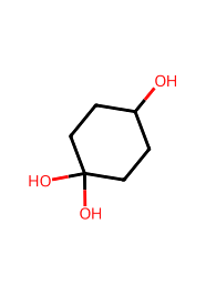 OC1CCC(O)(O)CC1